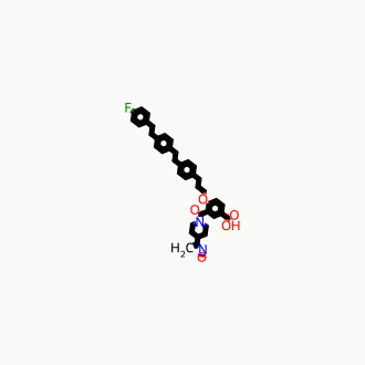 C=C(N=O)C1CCN(C(=O)c2cc(C(=O)O)ccc2OCCCc2ccc(CCc3ccc(CCc4ccc(F)cc4)cc3)cc2)CC1